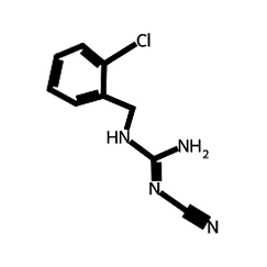 N#C/N=C(\N)NCc1ccccc1Cl